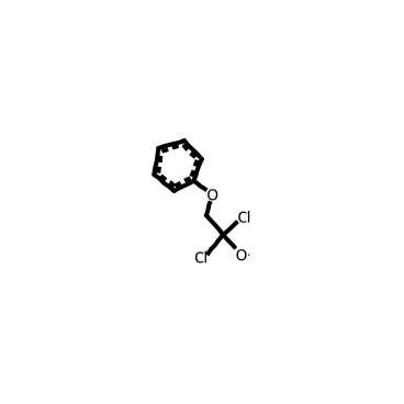 [O]C(Cl)(Cl)COc1ccccc1